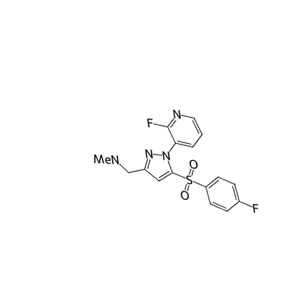 CNCc1cc(S(=O)(=O)c2ccc(F)cc2)n(-c2cccnc2F)n1